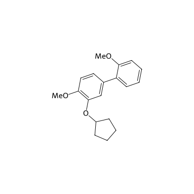 COc1ccc(-c2ccccc2OC)cc1OC1CCCC1